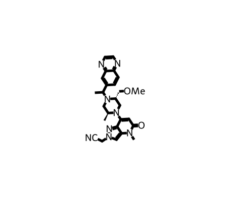 COC[C@@H]1CN(c2cc(=O)n(C)c3cn(CC#N)nc23)[C@@H](C)CN1C(C)c1ccc2nccnc2c1